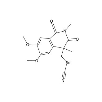 COc1cc2c(cc1OC)C(C)(C[Se]C#N)C(=O)N(C)C2=O